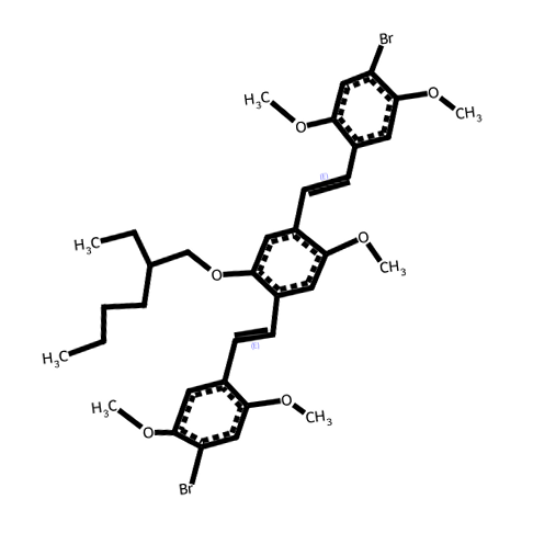 CCCCC(CC)COc1cc(/C=C/c2cc(OC)c(Br)cc2OC)c(OC)cc1/C=C/c1cc(OC)c(Br)cc1OC